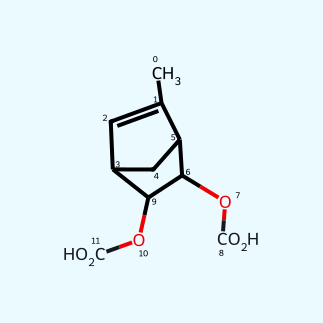 CC1=CC2CC1C(OC(=O)O)C2OC(=O)O